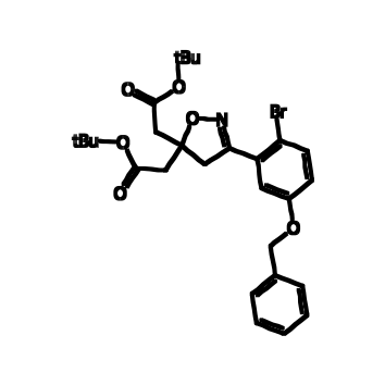 CC(C)(C)OC(=O)CC1(CC(=O)OC(C)(C)C)CC(c2cc(OCc3ccccc3)ccc2Br)=NO1